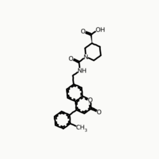 Cc1ccccc1-c1cc(=O)oc2cc(CNC(=O)N3CCC[C@H](C(=O)O)C3)ccc12